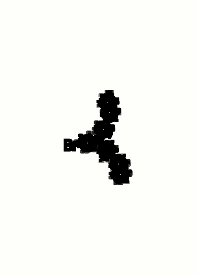 Brc1ccc(N(c2ccc(-c3ccc4ccccc4c3)cc2)c2ccc(-c3ccc4ccccc4c3)cc2)cc1